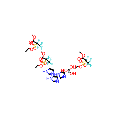 CCOS(=O)(=O)C(F)(C(=O)OC)C(F)(F)F.CCOS(=O)(=O)C(F)(C(=O)OC)C(F)(F)F.CCOS(=O)(=O)C(F)(C(=O)OC)C(F)(F)F.OB(O)O.c1c[nH]cn1.c1c[nH]cn1.c1c[nH]cn1